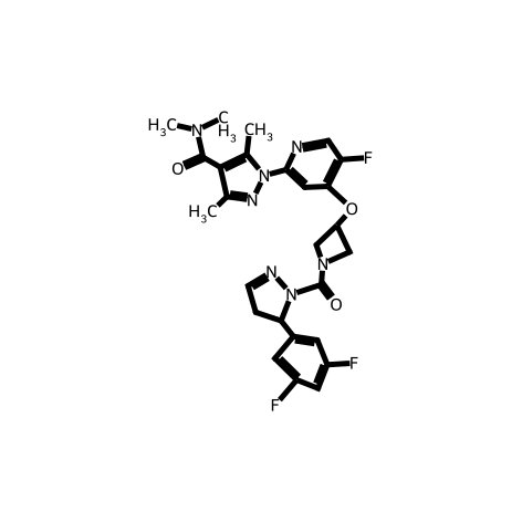 Cc1nn(-c2cc(OC3CN(C(=O)N4N=CCC4c4cc(F)cc(F)c4)C3)c(F)cn2)c(C)c1C(=O)N(C)C